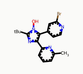 Cc1cccc(-c2nc(C(C)(C)C)n(O)c2-c2ccnc(Br)c2)n1